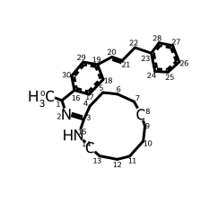 CC(N=C1CCCCCCCCCCCN1)c1ccc(C=CCc2ccccc2)cc1